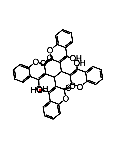 O=c1oc2ccccc2c(O)c1C(c1c(O)c2ccccc2oc1=O)C(c1c(O)c2ccccc2oc1=O)c1c(O)c2ccccc2oc1=O